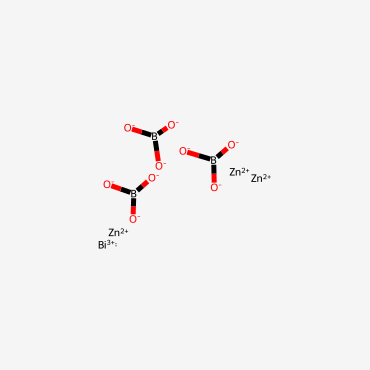 [Bi+3].[O-]B([O-])[O-].[O-]B([O-])[O-].[O-]B([O-])[O-].[Zn+2].[Zn+2].[Zn+2]